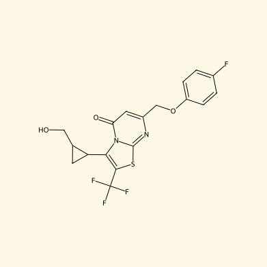 O=c1cc(COc2ccc(F)cc2)nc2sc(C(F)(F)F)c(C3CC3CO)n12